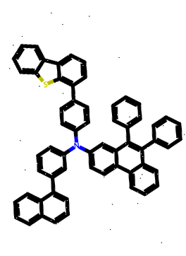 c1ccc(-c2c(-c3ccccc3)c3cc(N(c4ccc(-c5cccc6c5sc5ccccc56)cc4)c4cccc(-c5cccc6ccccc56)c4)ccc3c3ccccc23)cc1